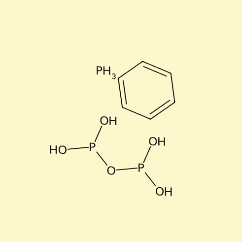 OP(O)OP(O)O.P.c1ccccc1